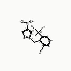 O=[N+]([O-])c1cnn(Cc2c(F)cccc2C(F)(F)F)c1